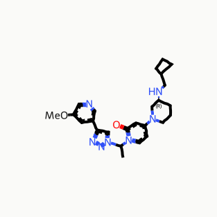 COc1cncc(-c2cn(C(C)n3ccc(N4CCC[C@@H](NCC5CCC5)C4)cc3=O)nn2)c1